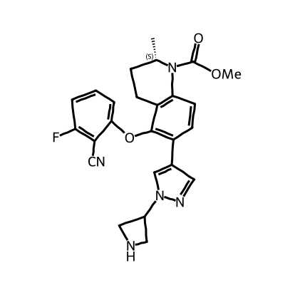 COC(=O)N1c2ccc(-c3cnn(C4CNC4)c3)c(Oc3cccc(F)c3C#N)c2CC[C@@H]1C